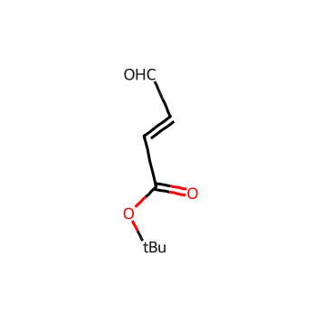 CC(C)(C)OC(=O)/C=C/C=O